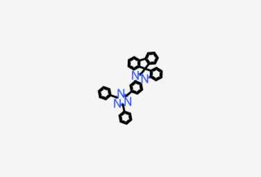 c1ccc(-c2nc(-c3ccccc3)nc(-c3ccc4c(c3)nc3n4-c4ccccc4C34c3ccccc3-c3ccccc34)n2)cc1